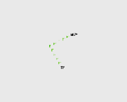 [F-].[F-].[F-].[F-].[F-].[F-].[F-].[F-].[F-].[Nb+5].[Ti+4]